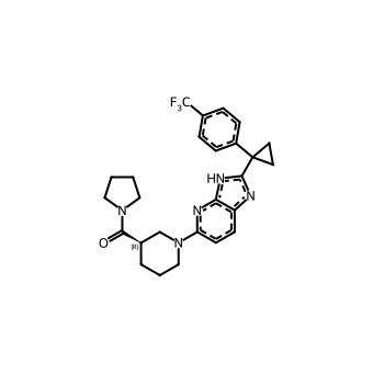 O=C([C@@H]1CCCN(c2ccc3nc(C4(c5ccc(C(F)(F)F)cc5)CC4)[nH]c3n2)C1)N1CCCC1